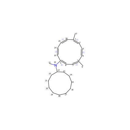 CC1=C/C=C\C(C)=C/C=C(N(C)C2CCCCCCCCCC2)\C=C/C=C\1